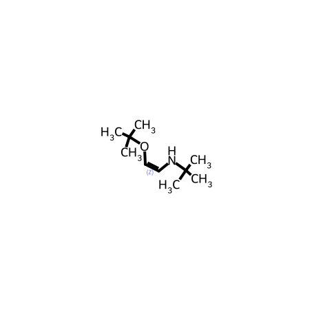 CC(C)(C)N/C=C\OC(C)(C)C